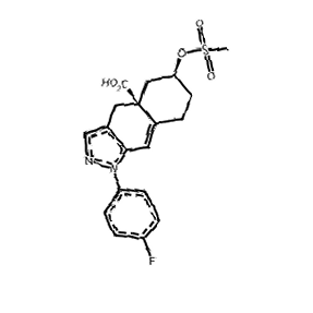 CS(=O)(=O)O[C@H]1CCC2=Cc3c(cnn3-c3ccc(F)cc3)C[C@]2(C(=O)O)C1